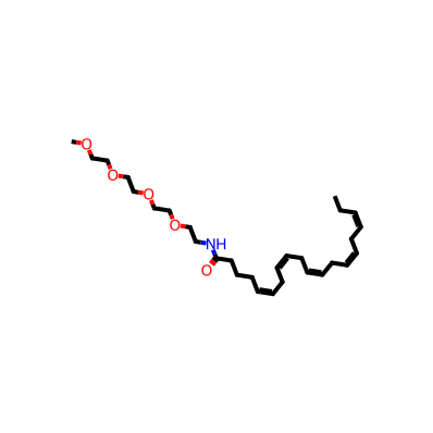 CC/C=C\C/C=C\C/C=C\C/C=C\C/C=C\CCCC(=O)NCCOCCOCCOCCOC